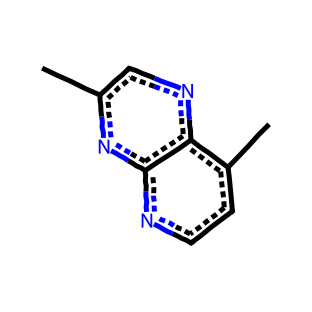 Cc1cnc2c(C)ccnc2n1